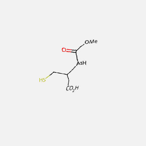 COC(=O)[AsH]C(CS)C(=O)O